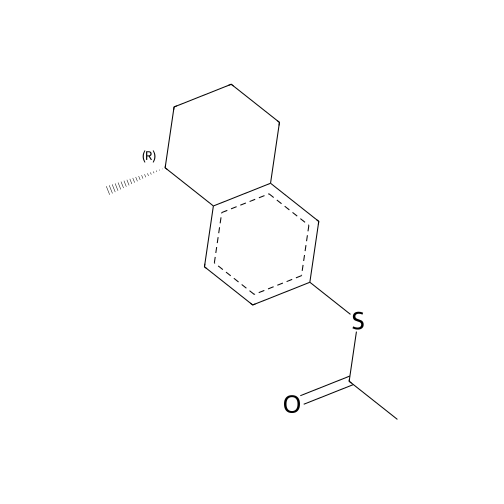 CC(=O)Sc1ccc2c(c1)CCC[C@H]2C